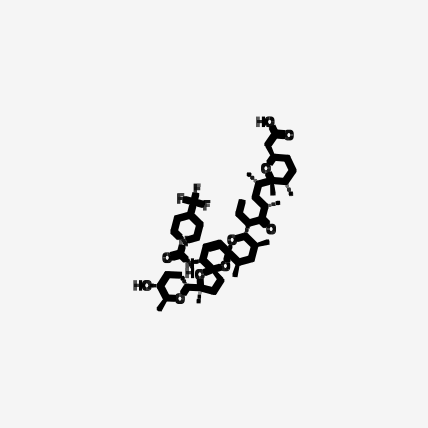 CCC(C(=O)[C@@H](C)C[C@H](C)[C@]1(C)O[C@@H](CC(=O)O)CC[C@@H]1C)[C@H]1O[C@]2(C=C[C@@H](NC(=O)N3CCC(C(F)(F)F)CC3)[C@]3(CC[C@@](C)([C@H]4CC[C@@H](O)[C@H](C)O4)O3)O2)[C@H](C)C[C@@H]1C